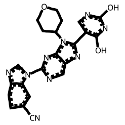 N#Cc1ccc2ncn(-c3ncc4nc(-c5cnc(O)nc5O)n(C5CCOCC5)c4n3)c2c1